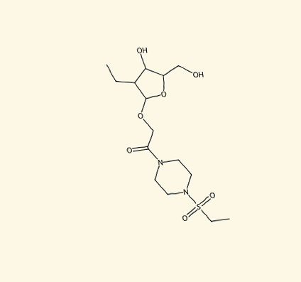 CCC1C(OCC(=O)N2CCN(S(=O)(=O)CC)CC2)OC(CO)C1O